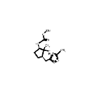 Cc1nc(C[C@H]2CC[C@@H](NC(=O)OC(C)(C)C)C2(C)C)no1